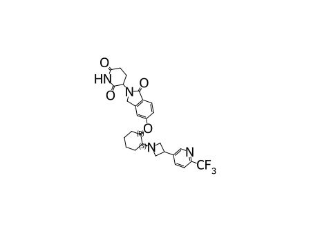 O=C1CCC(N2Cc3cc(O[C@@H]4CCCC[C@@H]4N4CC(c5ccc(C(F)(F)F)nc5)C4)ccc3C2=O)C(=O)N1